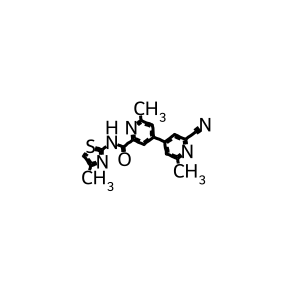 Cc1cc(-c2cc(C)nc(C(=O)Nc3nc(C)cs3)c2)cc(C#N)n1